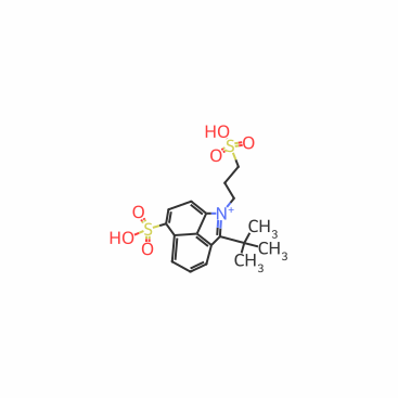 CC(C)(C)C1=[N+](CCCS(=O)(=O)O)c2ccc(S(=O)(=O)O)c3cccc1c23